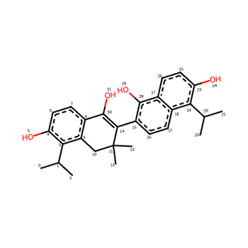 CC(C)c1c(O)ccc2c1CC(C)(C)C(c1ccc3c(C(C)C)c(O)ccc3c1O)=C2O